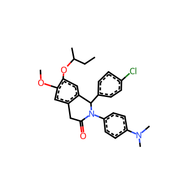 CCC(C)Oc1cc2c(cc1OC)CC(=O)N(c1ccc(N(C)C)cc1)C2c1ccc(Cl)cc1